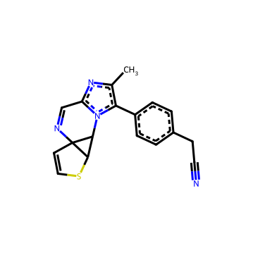 Cc1nc2n(c1-c1ccc(CC#N)cc1)C1C3SC=CC31N=C2